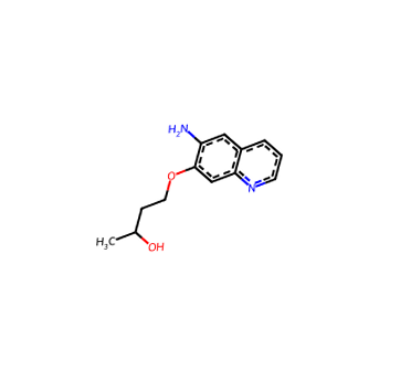 CC(O)CCOc1cc2ncccc2cc1N